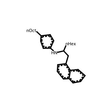 CCCCCCCCc1ccc(NC(CCCCCC)Cc2cccc3ccccc23)cc1